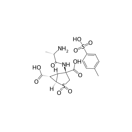 C[C@H](N)C(=O)N[C@@]1(C(=O)O)CS(=O)(=O)[C@H]2[C@H](C(=O)O)[C@H]21.Cc1ccc(S(=O)(=O)O)cc1